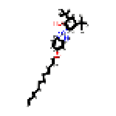 CCCCCCCCCCCCOc1ccc2nn(-c3cc(C(C)(C)C)cc(C(C)(C)C)c3O)nc2c1